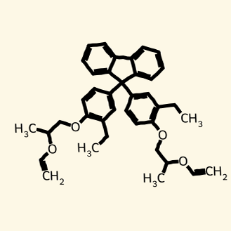 C=COC(C)COc1ccc(C2(c3ccc(OCC(C)OC=C)c(CC)c3)c3ccccc3-c3ccccc32)cc1CC